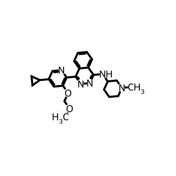 COCOc1cc(C2CC2)cnc1-c1nnc(NC2CCCN(C)C2)c2ccccc12